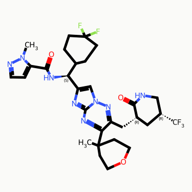 Cn1nccc1C(=O)N[C@H](c1cn2nc(C[C@H]3C[C@@H](C(F)(F)F)CNC3=O)c(C3(C)CCOCC3)nc2n1)C1CCC(F)(F)CC1